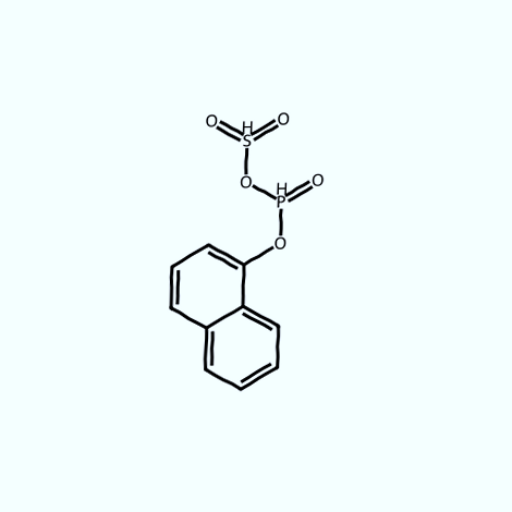 O=[PH](Oc1cccc2ccccc12)O[SH](=O)=O